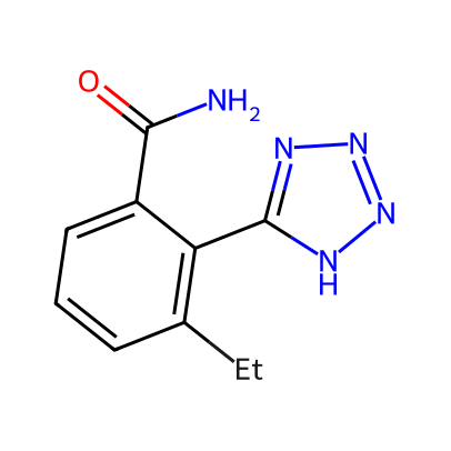 CCc1cccc(C(N)=O)c1-c1nnn[nH]1